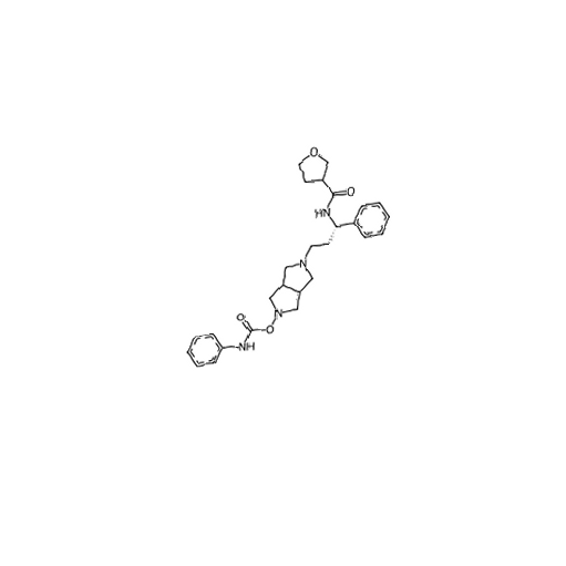 O=C(Nc1ccccc1)ON1CC2CN(CC[C@H](NC(=O)C3CCOC3)c3ccccc3)CC2C1